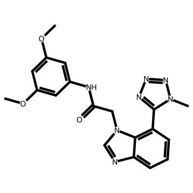 COc1cc(NC(=O)Cn2cnc3cccc(-c4nnnn4C)c32)cc(OC)c1